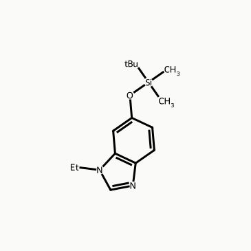 CCn1cnc2ccc(O[Si](C)(C)C(C)(C)C)cc21